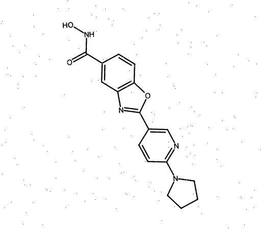 O=C(NO)c1ccc2oc(-c3ccc(N4CCCC4)nc3)nc2c1